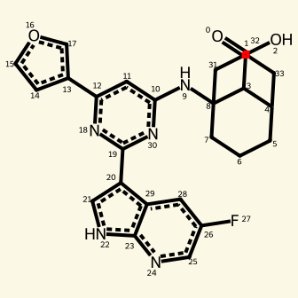 O=C(O)C1C2CCCC1(Nc1cc(-c3ccoc3)nc(-c3c[nH]c4ncc(F)cc34)n1)CCC2